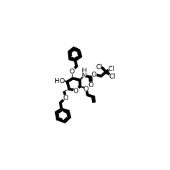 C=CCO[C@H]1O[C@H](COCc2ccccc2)[C@@H](O)[C@H](OCc2ccccc2)[C@H]1NC(=O)OCC(Cl)(Cl)Cl